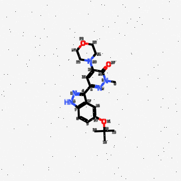 Cn1nc(-c2n[nH]c3ccc(OC(C)(C)C)cc23)cc(N2CCOCC2)c1=O